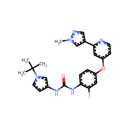 Cn1cc(-c2cc(Oc3ccc(NC(=O)Nc4ccn(C(C)(C)C)c4)c(F)c3)ccn2)cn1